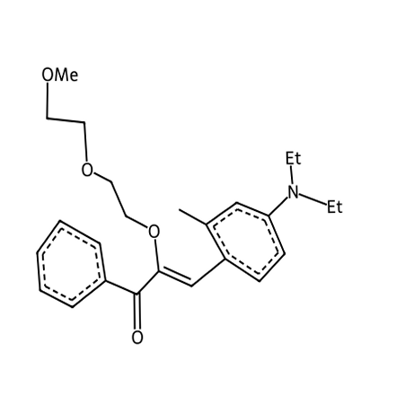 CCN(CC)c1ccc(C=C(OCCOCCOC)C(=O)c2ccccc2)c(C)c1